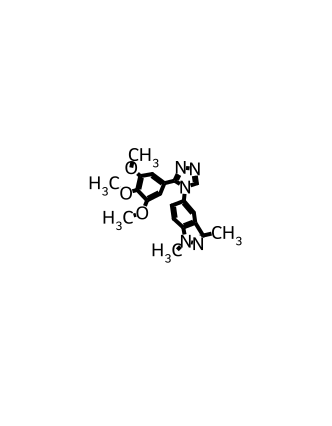 COc1cc(-c2nncn2-c2ccc3c(c2)c(C)nn3C)cc(OC)c1OC